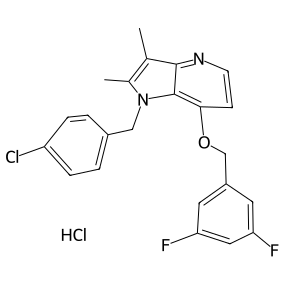 Cc1c(C)n(Cc2ccc(Cl)cc2)c2c(OCc3cc(F)cc(F)c3)ccnc12.Cl